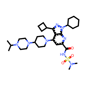 CC(C)N1CCN(C2CCN(c3cc(C(=O)NS(=O)(=O)N(C)C)nc4c3c(C3CCC3)nn4C3CCCCC3)CC2)CC1